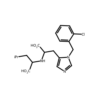 CC(C)CC(NC(Cc1cncn1Cc1ccccc1Cl)C(=O)O)C(=O)O